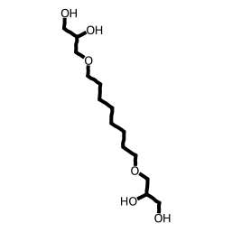 OCC(O)COCCCCCCCCOCC(O)CO